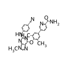 Cc1cc(-c2ccc(C(N)=O)nc2)cc(C)c1Oc1nc(Nc2ccc(C#N)cc2)nc2c1ncn2C